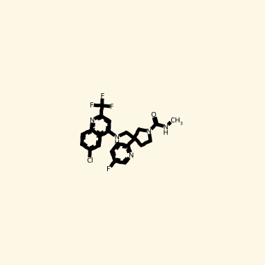 CNC(=O)N1CCC(CNc2cc(C(F)(F)F)nc3ccc(Cl)cc23)(c2ccc(F)cn2)C1